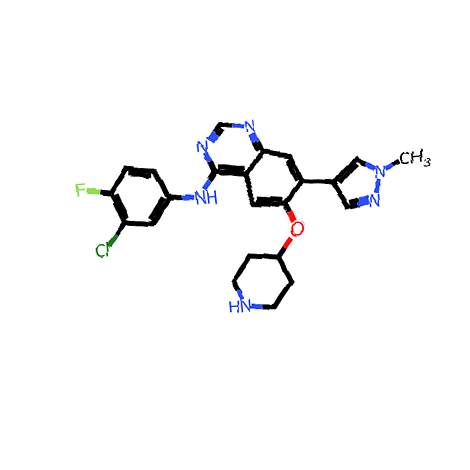 Cn1cc(-c2cc3ncnc(Nc4ccc(F)c(Cl)c4)c3cc2OC2CCNCC2)cn1